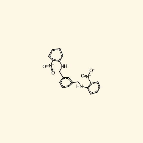 O=[N+]([O-])c1ccccc1NCc1cccc(CNc2ccccc2[N+](=O)[O-])c1